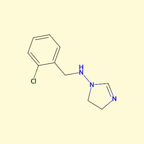 Clc1ccccc1CNN1C=NCC1